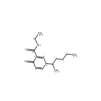 CCCCC(C)n1ccc(=O)c(C(=O)OCC)c1